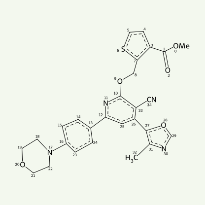 COC(=O)c1ccsc1COc1nc(-c2ccc(N3CCOCC3)cc2)cc(-c2ocnc2C)c1C#N